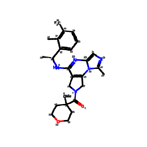 COC1(C(=O)N2Cc3c(N[C@H](C)c4cccc(C(F)(F)F)c4C)nc4cnc(C)n4c3C2)CCOCC1